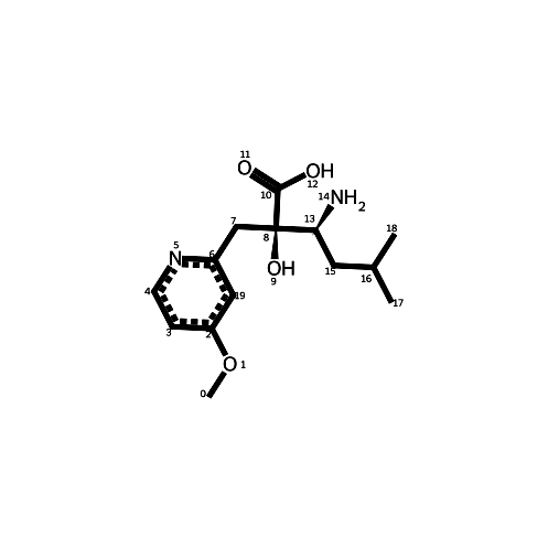 COc1ccnc(C[C@](O)(C(=O)O)[C@@H](N)CC(C)C)c1